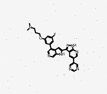 CN(C)CCCOc1cc(F)cc(-c2cncc3[nH]c(-c4n[nH]c5ncc(-c6cncnc6)cc45)cc23)c1